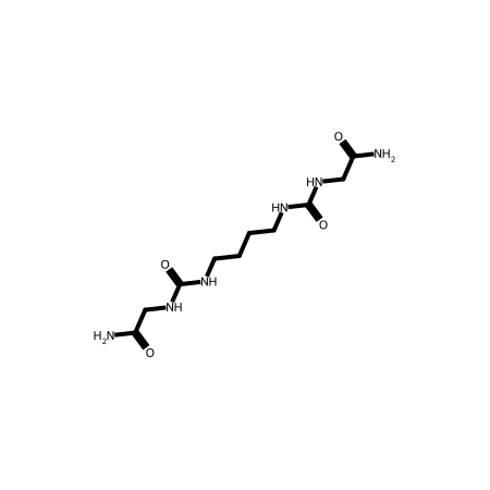 NC(=O)CNC(=O)NCCCCNC(=O)NCC(N)=O